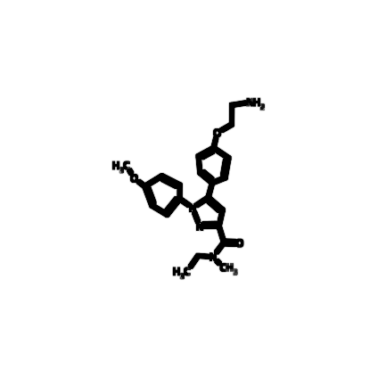 CCN(C)C(=O)c1cc(-c2ccc(OCCN)cc2)n(-c2ccc(OC)cc2)n1